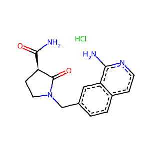 Cl.NC(=O)[C@@H]1CCN(Cc2ccc3ccnc(N)c3c2)C1=O